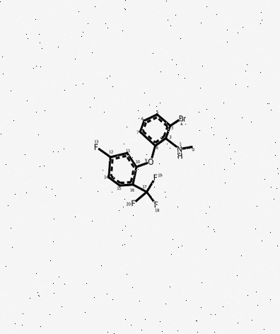 CNc1c(Br)cccc1Oc1cc(F)ccc1C(F)(F)F